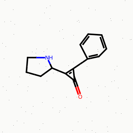 O=c1c(-c2ccccc2)c1C1CCCN1